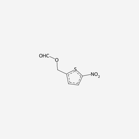 O=COCc1ccc([N+](=O)[O-])s1